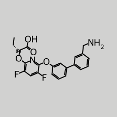 CC[C@@H](Oc1nc(Oc2cccc(-c3cccc(CN)c3)c2)c(F)cc1F)C(=O)O